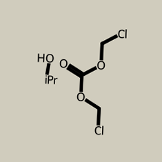 CC(C)O.O=C(OCCl)OCCl